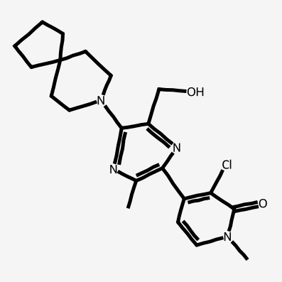 Cc1nc(N2CCC3(CCCC3)CC2)c(CO)nc1-c1ccn(C)c(=O)c1Cl